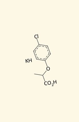 CC(Oc1ccc(Cl)cc1)C(=O)O.[KH]